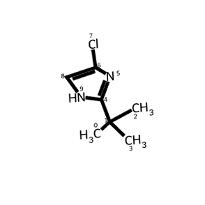 CC(C)(C)c1nc(Cl)c[nH]1